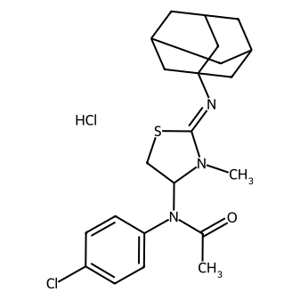 CC(=O)N(c1ccc(Cl)cc1)C1CSC(=NC23CC4CC(CC(C4)C2)C3)N1C.Cl